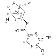 O=C(C[C@H]1C[C@H]2CC[C@@H](C1)N2)c1ccc(Cl)c(Cl)c1